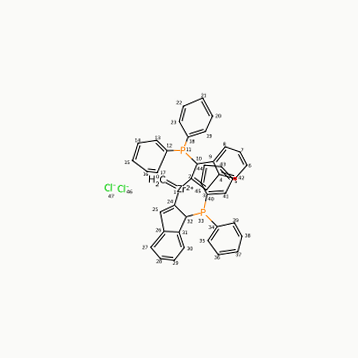 [CH2]=[Zr+2]([C]1=Cc2ccccc2C1P(c1ccccc1)c1ccccc1)[C]1=Cc2ccccc2C1P(c1ccccc1)c1ccccc1.[Cl-].[Cl-]